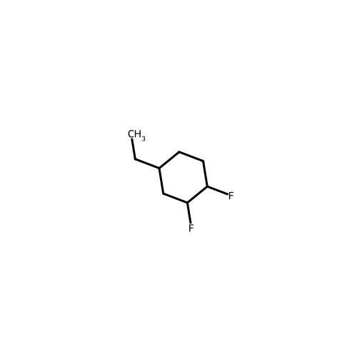 CCC1CCC(F)C(F)C1